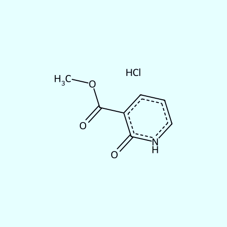 COC(=O)c1ccc[nH]c1=O.Cl